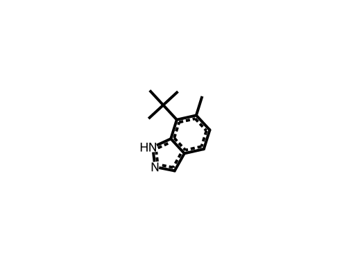 Cc1ccc2cn[nH]c2c1C(C)(C)C